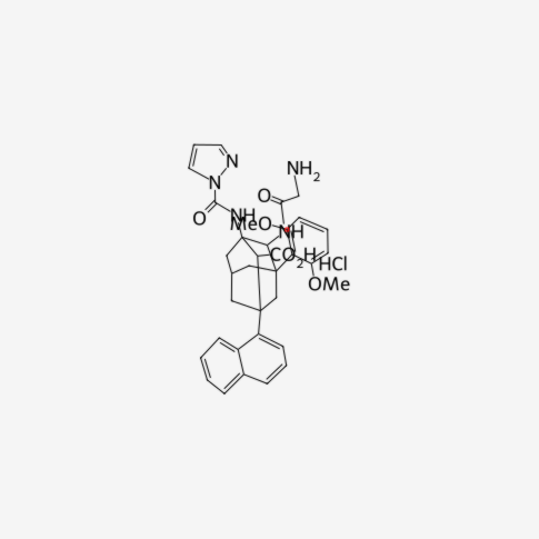 COc1cccc(OC)c1C12CC3CC(c4cccc5ccccc45)(C1)C(C(=O)O)C(NC(=O)n1cccn1)(C3)C2NC(=O)CN.Cl